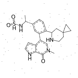 CC(N[SH](=O)=O)c1ccc(C2CC3(CCN2)CC3)c(-c2cn(C)c(=O)c3[nH]ccc23)c1